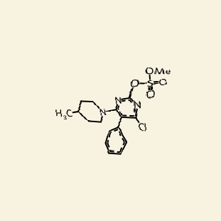 COS(=O)(=O)Oc1nc(Cl)c(-c2ccccc2)c(N2CCC(C)CC2)n1